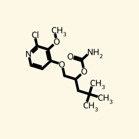 COc1c(OCC(CC(C)(C)C)OC(N)=O)ccnc1Cl